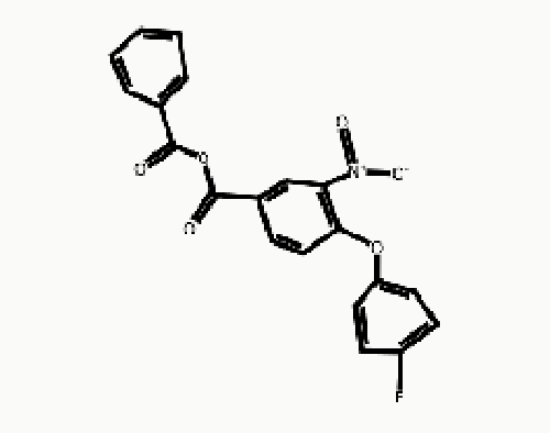 O=C(OC(=O)c1ccc(Oc2ccc(F)cc2)c([N+](=O)[O-])c1)c1ccccc1